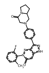 Cc1cccc(F)c1-n1nc2c(-c3ccc(N4CC(=O)N5CCCC5C4)cc3)n[nH]c2cc1=O